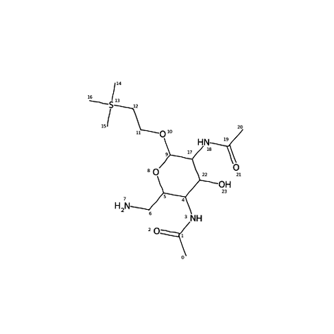 CC(=O)NC1C(CN)OC(OCCS(C)(C)C)C(NC(C)=O)C1O